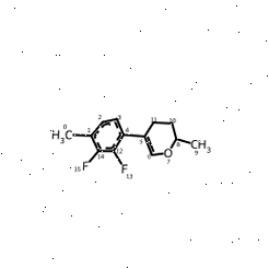 Cc1ccc(C2=COC(C)CC2)c(F)c1F